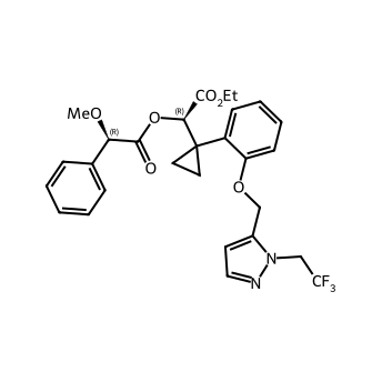 CCOC(=O)[C@H](OC(=O)[C@H](OC)c1ccccc1)C1(c2ccccc2OCc2ccnn2CC(F)(F)F)CC1